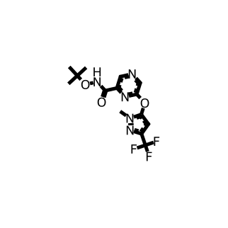 Cn1nc(C(F)(F)F)cc1Oc1cncc(C(=O)NOC(C)(C)C)n1